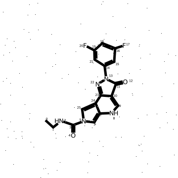 CCNC(=O)n1cc2[nH]cc3c(=O)n(-c4cc(F)cc(F)c4)nc-3c2c1